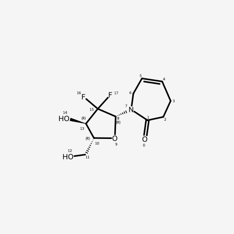 O=C1CCC=CCN1[C@@H]1O[C@H](CO)[C@@H](O)C1(F)F